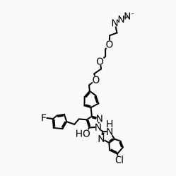 [N-]=[N+]=NCCOCCOCCOCc1ccc(-c2nn(-c3nc4cc(Cl)ccc4[nH]3)c(O)c2CCc2ccc(F)cc2)cc1